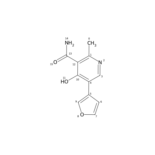 Cc1ncc(-c2ccoc2)c(O)c1C(N)=O